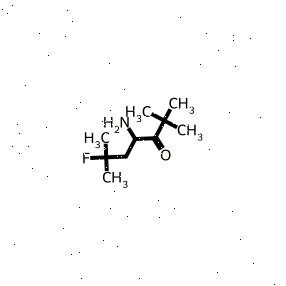 CC(C)(F)CC(N)C(=O)C(C)(C)C